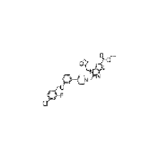 CCOC(=O)c1cc2c(nc(CN3CC=C(c4cccc(OCc5ccc(Cl)cc5F)c4)CC3)n2C[C@@H]2CCO2)s1